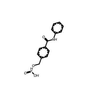 O=C(Nc1ccccc1)c1ccc(CO[PH](=O)O)cc1